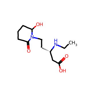 CCN[C@@H](CCN1C(=O)CCCC1O)CC(=O)O